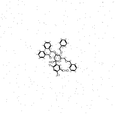 CCc1cc(F)c(C2(O)O[C@H](COCc3ccccc3)[C@@H](OCc3ccccc3)[C@H](OCc3ccccc3)[C@H]2OCc2ccccc2)cc1C=O